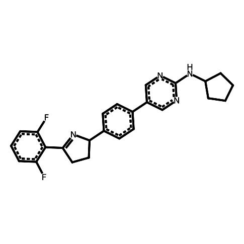 Fc1cccc(F)c1C1=NC(c2ccc(-c3cnc(NC4CCCC4)nc3)cc2)CC1